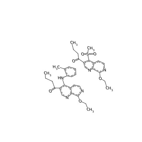 CCCC(=O)c1cnc2c(OCC)nccc2c1Nc1ccccc1C.CCCC(=O)c1cnc2c(OCC)nccc2c1S(C)(=O)=O